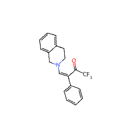 O=C(/C(=C\N1CCc2ccccc2C1)c1ccccc1)C(F)(F)F